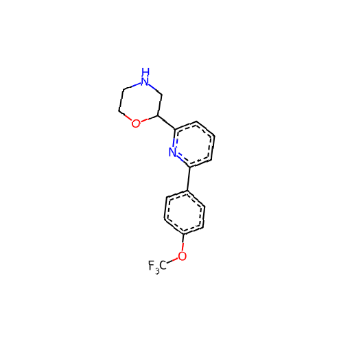 FC(F)(F)Oc1ccc(-c2cccc(C3CNCCO3)n2)cc1